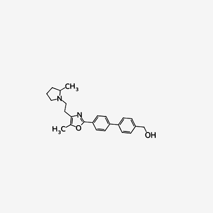 Cc1oc(-c2ccc(-c3ccc(CO)cc3)cc2)nc1CCN1CCCC1C